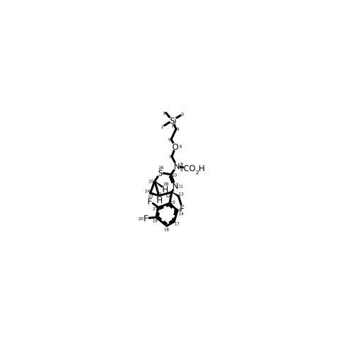 C[Si](C)(C)CCOCN(C(=O)O)C1=N[C@](CF)(c2cccc(F)c2F)[C@@H]2C[C@@H]2S1